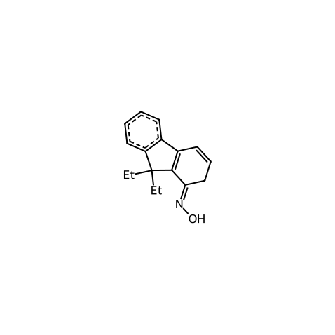 CCC1(CC)C2=C(C=CCC2=NO)c2ccccc21